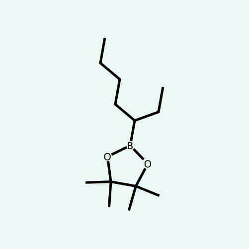 CCCCC(CC)B1OC(C)(C)C(C)(C)O1